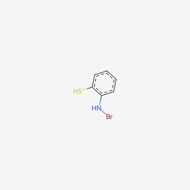 Sc1ccccc1NBr